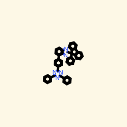 c1ccc(-c2nc(-c3ccccc3)nc(-c3ccc(-c4cccc5nc6n(c45)-c4ccccc4C64c5ccccc5-c5ccccc54)cc3)n2)cc1